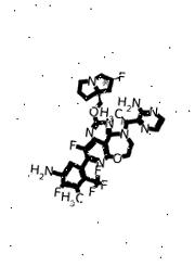 Cc1c(F)c(N)cc(-c2nc3c4c(nc(OC[C@@]56CCCN5C[C@H](F)C6)nc4c2F)N([C@H](C)c2nccnc2N)CCO3)c1C(F)(F)F